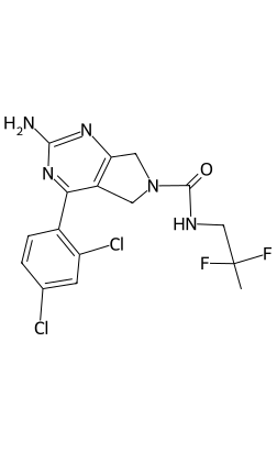 CC(F)(F)CNC(=O)N1Cc2nc(N)nc(-c3ccc(Cl)cc3Cl)c2C1